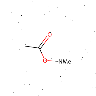 CNOC(C)=O